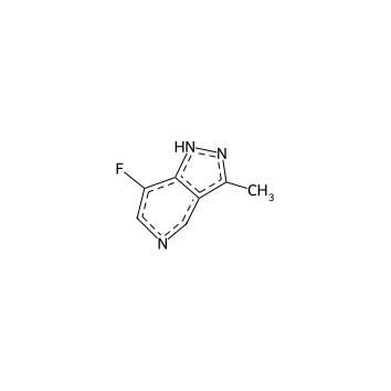 Cc1n[nH]c2c(F)cncc12